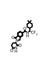 CC1(C)CCC([C@@H](NC(=O)c2ccc3c(c2)CN(C2CCC(=O)NC2=O)C3=O)C(F)(F)F)CC1